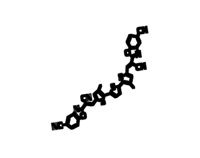 Cc1cc(/C=C(\C#N)c2nc3cc(C#N)ccc3o2)sc1-c1ccc(-c2sc(/C=C(\C#N)c3nc4cc(C#N)ccc4o3)cc2C)s1